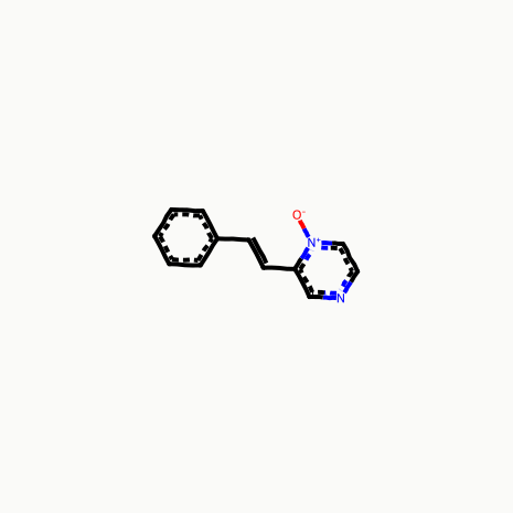 [O-][n+]1ccncc1C=Cc1ccccc1